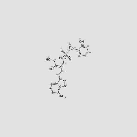 Nc1ncnc2c1ncn2CO[C@H](CNS(=O)(=O)C1OC1c1ccccc1O)C(O)CO